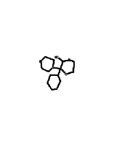 N#CC1[N]CCOC1(C1CCCCC1)N1CCOCC1